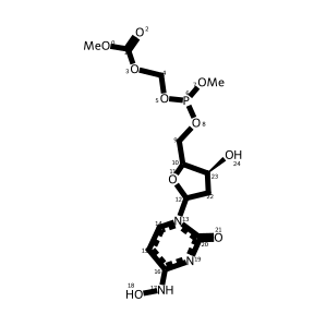 COC(=O)OCOP(OC)OCC1OC(n2ccc(NO)nc2=O)C[C@@H]1O